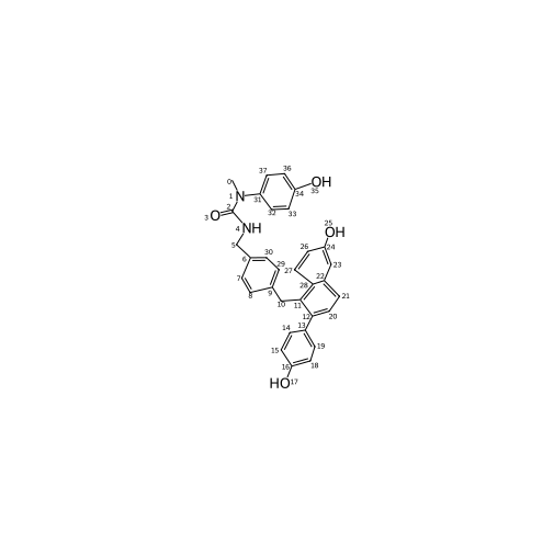 CN(C(=O)NCc1ccc(Cc2c(-c3ccc(O)cc3)ccc3cc(O)ccc23)cc1)c1ccc(O)cc1